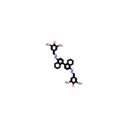 CC(C)(C)C1=CC(=C/N=N/c2ccc(-c3ccc(/N=N/C=C4C=C(C(C)(C)C)C(=O)C(C(C)(C)C)=C4)c4c3CCCC4)c3c2CCCC3)C=C(C(C)(C)C)C1=O